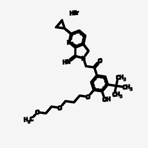 Br.COCCOCCCOc1cc(C(=O)CN2Cc3ccc(C4CC4)nc3C2=N)cc(C(C)(C)C)c1O